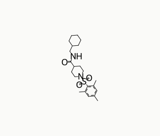 Cc1cc(C)c(S(=O)(=O)N2CCC(C(=O)NCC3CCCCC3)CC2)c(C)c1